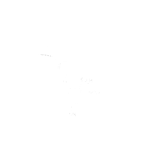 CCCCCCCCc1cc(O)cc(OCC2=C(C)CC(C)(C)CC2)c1C(=O)O